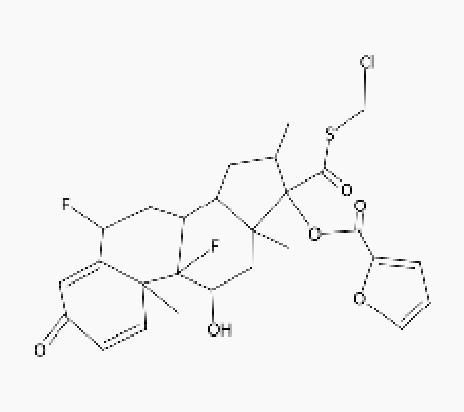 CC1CC2C3CC(F)C4=CC(=O)C=CC4(C)C3(F)C(O)CC2(C)C1(OC(=O)c1ccco1)C(=O)SCCl